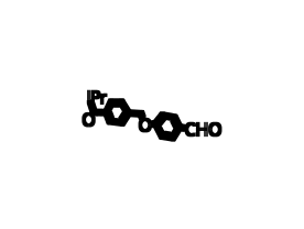 CC(C)C(=O)c1ccc(COc2ccc(C=O)cc2)cc1